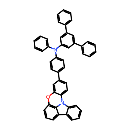 c1ccc(-c2cc(-c3ccccc3)cc(N(c3ccccc3)c3ccc(-c4ccc5c(c4)Oc4cccc6c7ccccc7n-5c46)cc3)c2)cc1